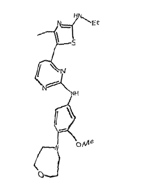 CCNc1nc(C)c(-c2ccnc(Nc3ccc(N4CCOCC4)c(OC)c3)n2)s1